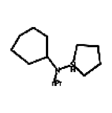 CCCN(C1CCCCC1)[SiH]1CCCC1